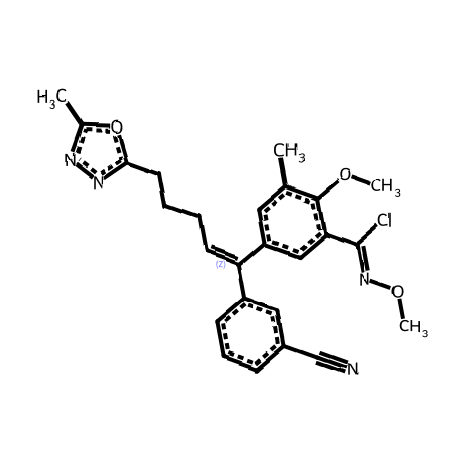 CON=C(Cl)c1cc(/C(=C\CCCc2nnc(C)o2)c2cccc(C#N)c2)cc(C)c1OC